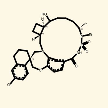 CCN1[C@@H](C)CCCC(O)[C@@H]2CC[C@H]2CN2C[C@@]3(CCCc4cc(Cl)ccc43)COc3ccc(cc32)C(=O)NS1(=O)=O